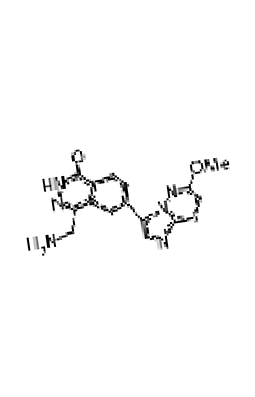 COc1ccc2ncc(-c3ccc4c(=O)[nH]nc(CN)c4c3)n2n1